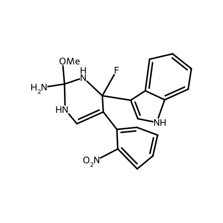 COC1(N)NC=C(c2ccccc2[N+](=O)[O-])C(F)(c2c[nH]c3ccccc23)N1